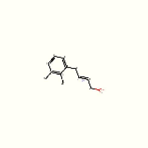 Cc1cccc(C/C=C/CO)c1C